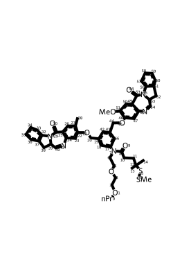 CCCOCCOCCN(C(=O)CCC(C)(C)SSC)c1cc(COc2cc3c(cc2C)C(=O)N2c4ccccc4CC2C=N3)cc(COc2cc3c(cc2OC)C(=O)N2c4ccccc4CC2C=N3)c1